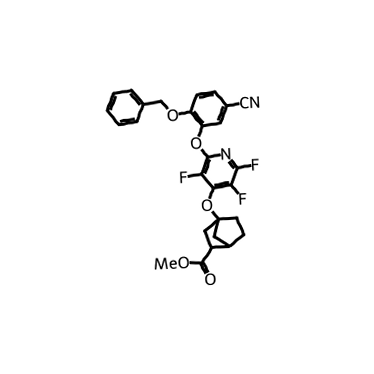 COC(=O)C1CC2(Oc3c(F)c(F)nc(Oc4cc(C#N)ccc4OCc4ccccc4)c3F)CCC1C2